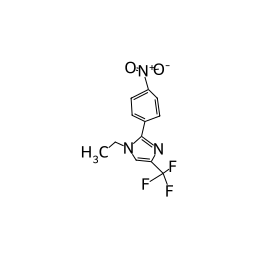 CCn1cc(C(F)(F)F)nc1-c1ccc([N+](=O)[O-])cc1